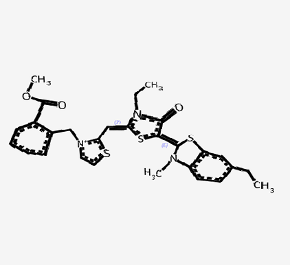 CCc1ccc2c(c1)S/C(=c1/s/c(=C\c3scc[n+]3Cc3ccccc3C(=O)OC)n(CC)c1=O)N2C